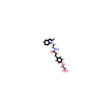 Cc1cc2ccccc2n1CCNC(=O)C=Cc1ccc(OCCO)cc1